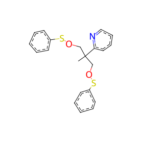 CC(COSc1ccccc1)(COSc1ccccc1)c1ccccn1